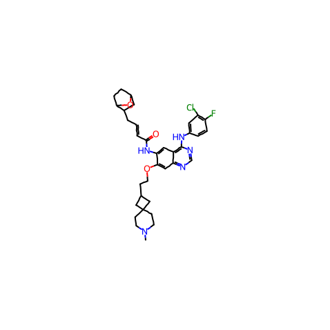 CN1CCC2(CC1)CC(CCOc1cc3ncnc(Nc4ccc(F)c(Cl)c4)c3cc1NC(=O)/C=C/CC1CC3CCC1O3)C2